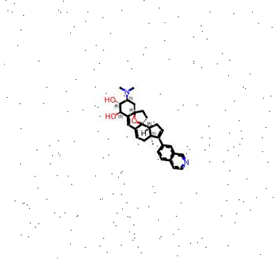 CN(C)[C@H]1C[C@@]23CC[C@@]4(O2)C(=CC[C@]2(C)C(c5ccc6ccncc6c5)=CC[C@H]24)C=C3[C@@H](O)[C@@H]1O